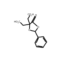 O=C(O)CC1(CC(=O)O)OC(c2ccccc2)OC1=O